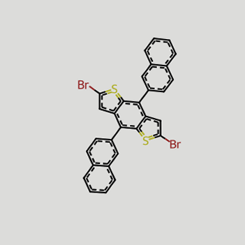 Brc1cc2c(-c3ccc4ccccc4c3)c3sc(Br)cc3c(-c3ccc4ccccc4c3)c2s1